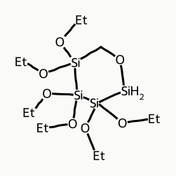 CCO[Si]1(OCC)CO[SiH2][Si](OCC)(OCC)[Si]1(OCC)OCC